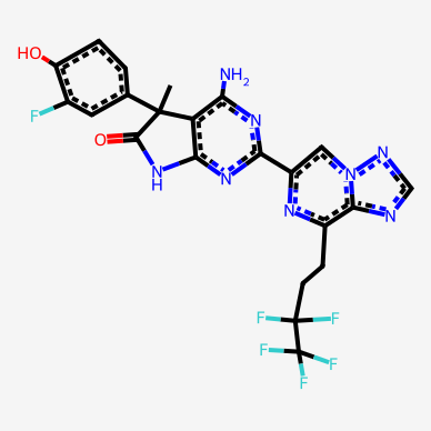 CC1(c2ccc(O)c(F)c2)C(=O)Nc2nc(-c3cn4ncnc4c(CCC(F)(F)C(F)(F)F)n3)nc(N)c21